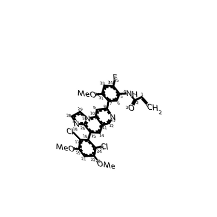 C=CC(=O)Nc1cc(-c2cc3c(cn2)cc(-c2c(Cl)c(OC)cc(OC)c2Cl)c2nccn23)c(OC)cc1F